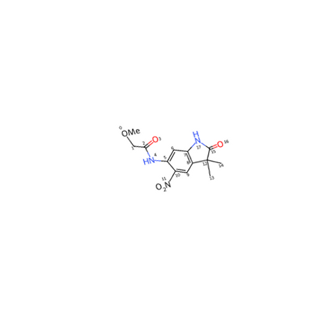 COCC(=O)Nc1cc2c(cc1[N+](=O)[O-])C(C)(C)C(=O)N2